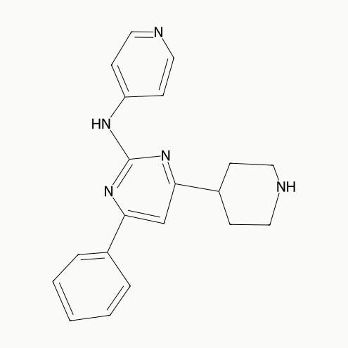 c1ccc(-c2cc(C3CCNCC3)nc(Nc3ccncc3)n2)cc1